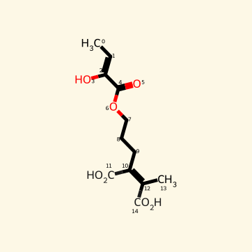 CC=C(O)C(=O)OCCC/C(C(=O)O)=C(\C)C(=O)O